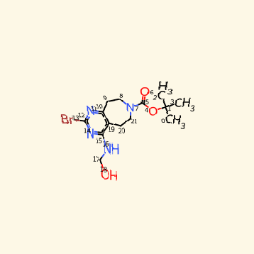 CC(C)(C)OC(=O)N1CCc2nc(Br)nc(NCO)c2CC1